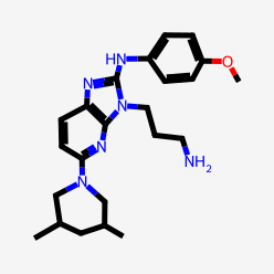 COc1ccc(Nc2nc3ccc(N4CC(C)CC(C)C4)nc3n2CCCN)cc1